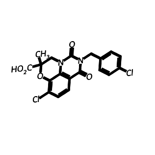 CC1(C(=O)O)Cn2c(=O)n(Cc3ccc(Cl)cc3)c(=O)c3ccc(Cl)c(c32)O1